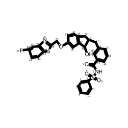 O=C(NS(=O)(=O)c1ccccc1)c1cccc(CC2Cc3ccc(OCc4nc5cc(F)ccc5s4)cc3C2O)c1